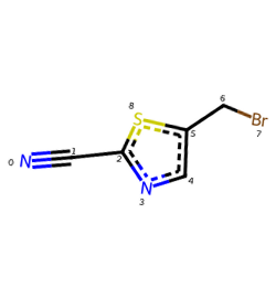 N#Cc1ncc(CBr)s1